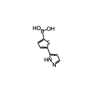 OB(O)c1ccc(-c2ccn[nH]2)s1